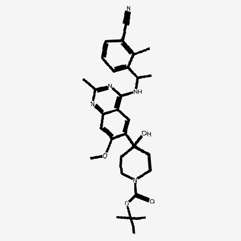 COc1cc2nc(C)nc(NC(C)c3cccc(C#N)c3C)c2cc1C1(O)CCN(C(=O)OC(C)(C)C)CC1